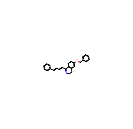 C(C=Cc1ccccc1)=CC1=NCCc2cc(OCc3ccccc3)ccc21